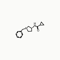 O=C(N[C@H]1CCN(Cc2ccccc2)C1)C1CC1